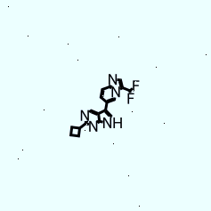 FC(F)c1cnc2ccc(-c3c[nH]c4nc(C5CCC5)ncc34)cn12